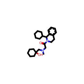 CN(CC(=O)N1CCc2ccccc2C1C1CCCCC1)CC1(O)CCCCC1